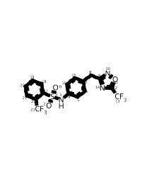 O=S(=O)(Nc1ccc(Cc2noc(C(F)(F)F)n2)cc1)c1ccccc1C(F)(F)F